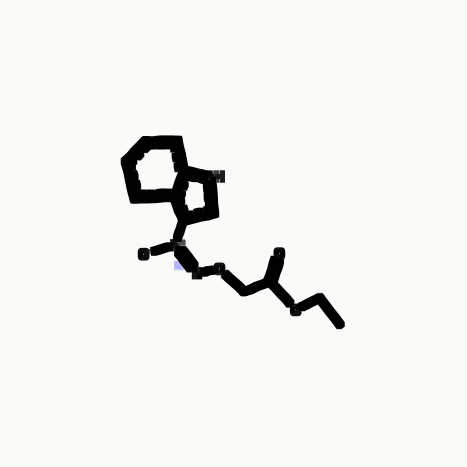 CCOC(=O)CO/N=[N+](/[O-])c1c[nH]c2ccccc12